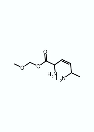 COCOC(=O)C(N)/C=C\C(C)N